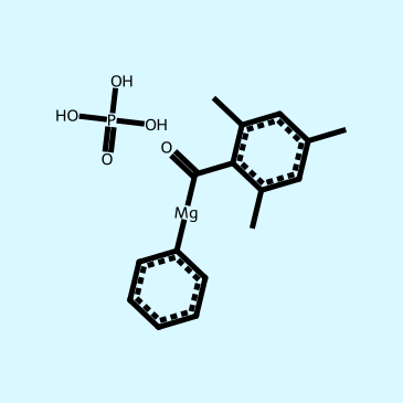 Cc1cc(C)c([C](=O)[Mg][c]2ccccc2)c(C)c1.O=P(O)(O)O